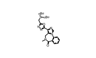 CCCCN(CCCC)Cc1nnc(-c2ncn3c2CN(C)C(=O)c2ccccc2-3)o1